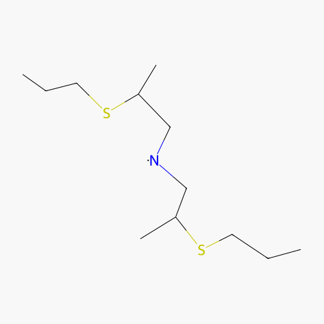 CCCSC(C)C[N]CC(C)SCCC